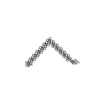 O=S(=O)([O-])[O-].O=S(=O)([O-])[O-].O=S(=O)([O-])[O-].O=S(=O)([O-])[O-].O=S(=O)([O-])[O-].O=S(=O)([O-])[O-].O=S(=O)([O-])[O-].O=S(=O)([O-])[O-].O=S(=O)([O-])[O-].O=S(=O)([O-])[O-].O=S(=O)([O-])[O-].O=S(=O)([O-])[O-].[Cu+2].[Cu+2].[Cu+2].[Cu+2].[Cu+2]